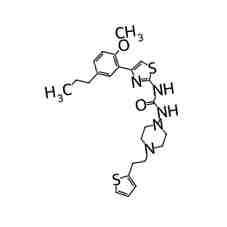 CCCc1ccc(OC)c(-c2csc(NC(=O)NN3CCN(CCc4cccs4)CC3)n2)c1